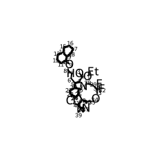 CCOC(O)c1c(CCCOc2cccc3ccccc23)c2ccc(Cl)c3c2n1CCC(F)(F)COCc1nn(C)c(C)c1-3